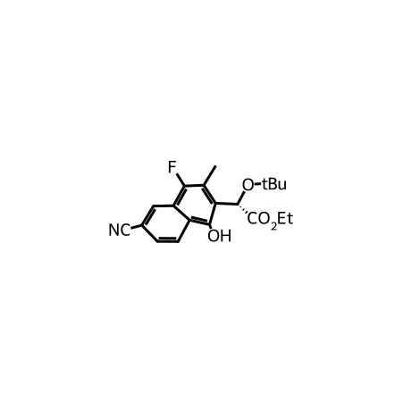 CCOC(=O)[C@@H](OC(C)(C)C)c1c(C)c(F)c2cc(C#N)ccc2c1O